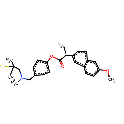 COc1ccc2cc([C@H](C)C(=O)Oc3ccc(CN(C)CC(C)(C)S)cc3)ccc2c1